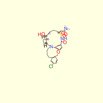 CN(C)C(=O)C[C@@H]1CC/C=C/[C@H](O)[C@@H]2CC[C@H]2CN2CCCCc3cc(Cl)ccc3COc3ccc(cc32)C(=O)NS1(=O)=O